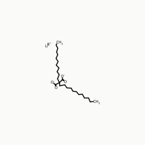 CCCCCCCCCCCCC(CCCCCCCCCCCC)(C(=O)[O-])C(=O)[O-].[K+].[Li+]